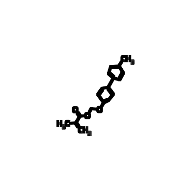 C=C(C)C(=O)OCOc1ccc(-c2ccc(C)cc2)cc1